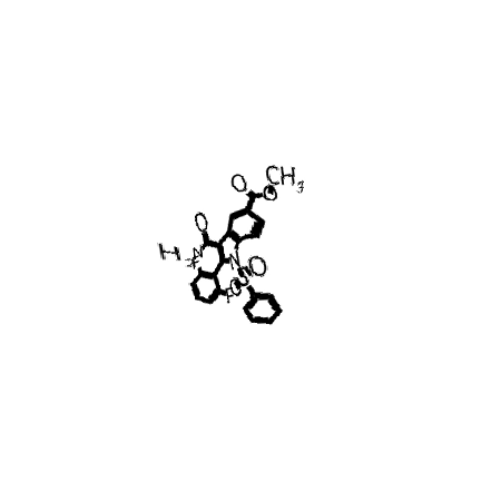 COC(=O)c1ccc2c(c1)c(C(N)=O)c(-c1c(F)cccc1F)n2S(=O)(=O)c1ccccc1